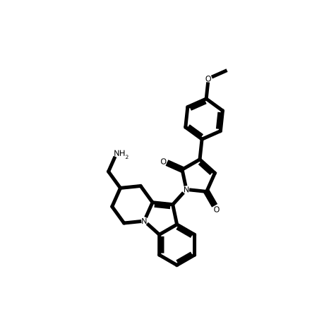 COc1ccc(C2=CC(=O)N(c3c4n(c5ccccc35)CCC(CN)C4)C2=O)cc1